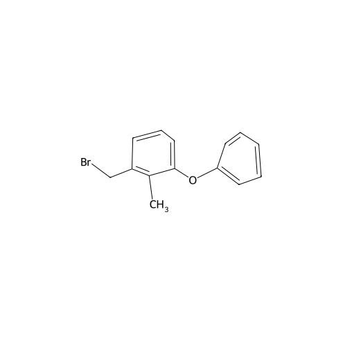 Cc1c(CBr)cccc1Oc1ccccc1